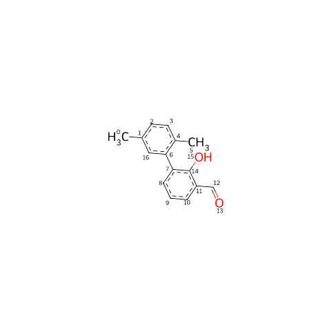 Cc1ccc(C)c(-c2cccc(C=O)c2O)c1